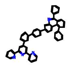 c1ccc(-c2nc3cc(-c4ccc(-c5cccc(-c6cc(-c7ccccn7)nc(-c7ccccn7)c6)c5)cc4)ccc3c3c(-c4ccccc4)cccc23)cc1